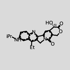 CCc1c2c(nc3ccc(NC(C)C)cc13)-c1cc3c(c(=O)n1C2)COC(=O)[C@H]3O